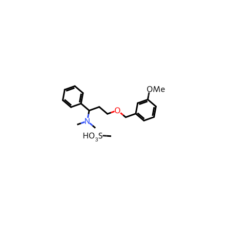 COc1cccc(COCCC(c2ccccc2)N(C)C)c1.CS(=O)(=O)O